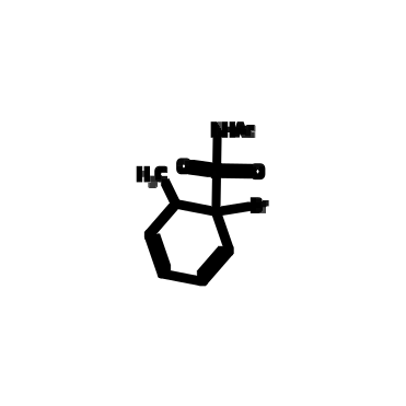 CC(=O)NS(=O)(=O)C1(Br)C=CC=CC1C